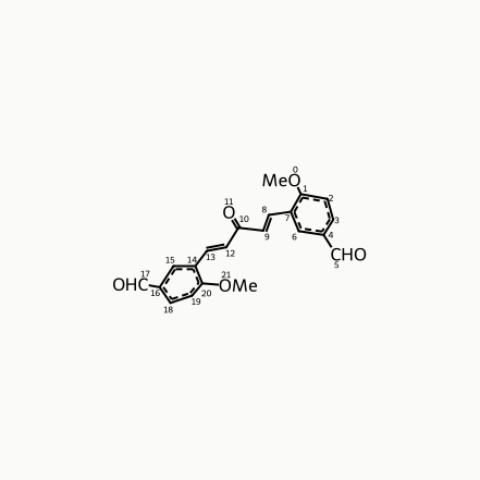 COc1ccc(C=O)cc1/C=C/C(=O)/C=C/c1cc(C=O)ccc1OC